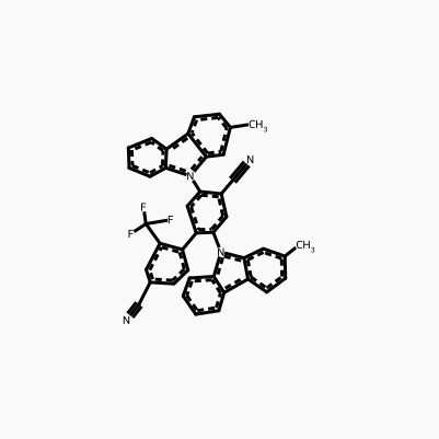 Cc1ccc2c3ccccc3n(-c3cc(-c4ccc(C#N)cc4C(F)(F)F)c(-n4c5ccccc5c5ccc(C)cc54)cc3C#N)c2c1